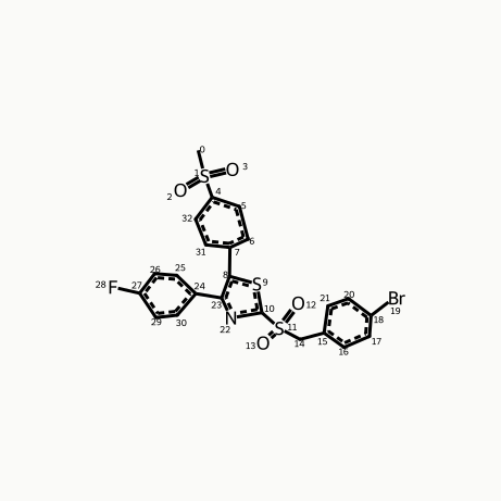 CS(=O)(=O)c1ccc(-c2sc(S(=O)(=O)Cc3ccc(Br)cc3)nc2-c2ccc(F)cc2)cc1